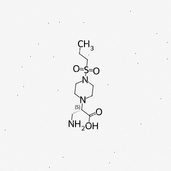 CCCS(=O)(=O)N1CCN([C@@H](CN)C(=O)O)CC1